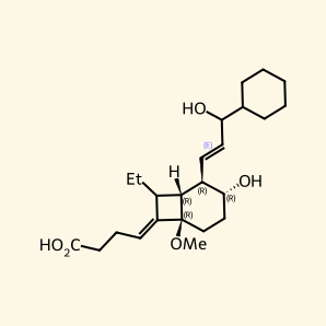 CCC1C(=CCCC(=O)O)[C@@]2(OC)CC[C@@H](O)[C@H](/C=C/C(O)C3CCCCC3)[C@@H]12